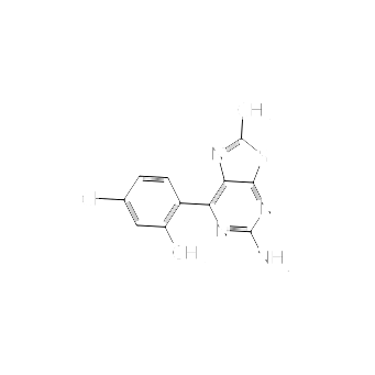 Cc1nc2c(-c3ccc(Cl)cc3C)nc(N)nc2s1